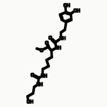 COC(=O)C(CCCCNC(=O)NCCCO)NC(=O)NCCc1ccc(O)c(O)c1